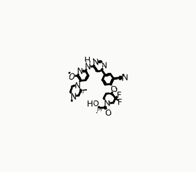 COc1nc(Nc2cc(-c3ccc(OC4CCN(C(=O)[C@H](C)O)CC4(F)F)c(C#N)c3)ncn2)ccc1N1CCN(C)C[C@@H]1C